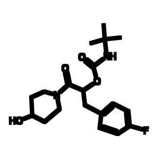 CC(C)(C)NC(=O)OC(Cc1ccc(F)cc1)C(=O)N1CCC(O)CC1